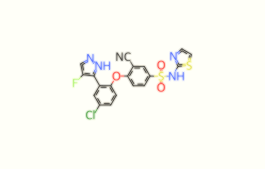 N#Cc1cc(S(=O)(=O)Nc2nccs2)ccc1Oc1ccc(Cl)cc1-c1[nH]ncc1F